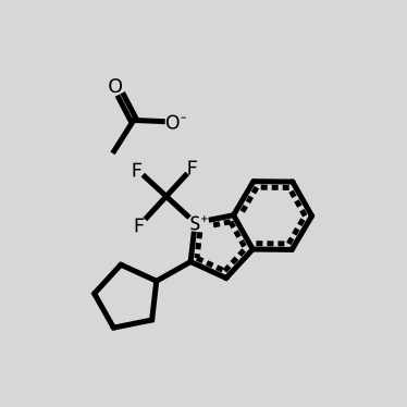 CC(=O)[O-].FC(F)(F)[s+]1c(C2CCCC2)cc2ccccc21